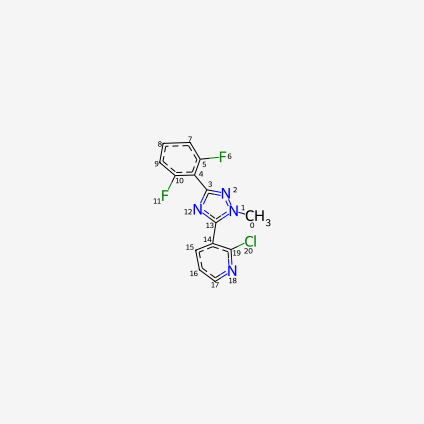 Cn1nc(-c2c(F)cccc2F)nc1-c1cccnc1Cl